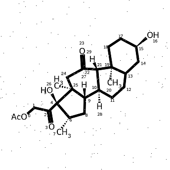 CC(=O)OCC(=O)[C@@]1(O)[C@@H](C)C[C@H]2[C@@H]3CCC4C[C@H](O)CC[C@]4(C)[C@H]3C(=O)C[C@@]21C